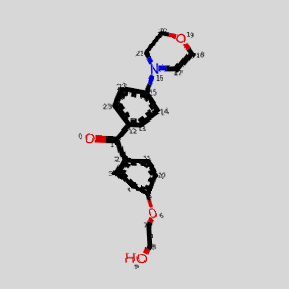 O=C(c1ccc(OCCO)cc1)c1ccc(N2CCOCC2)cc1